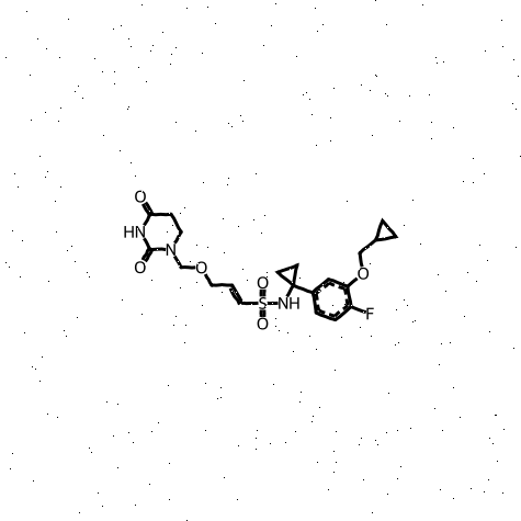 O=C1CCN(COC/C=C/S(=O)(=O)NC2(c3ccc(F)c(OCC4CC4)c3)CC2)C(=O)N1